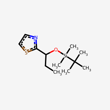 CCC(O[Si](C)(C)C(C)(C)C)c1nccs1